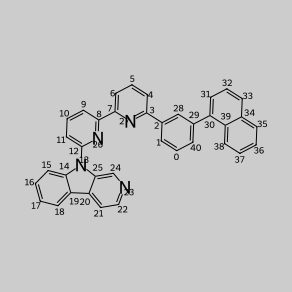 c1cc(-c2cccc(-c3cccc(-n4c5ccccc5c5ccncc54)n3)n2)cc(-c2cccc3ccccc23)c1